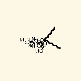 CCCCCCCC1(CCCCCCC)O[C@@H]2[C@H](O1)[C@@H](CO)O[C@H]2n1cnc2c(N)ncnc21